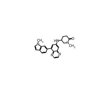 CN1CC(Nc2cc(-c3ccc4ccn(C)c4c3)c3nccnc3c2)CCC1=O